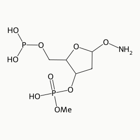 COP(=O)(O)OC1CC(ON)OC1COP(O)O